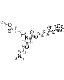 CCCCCCCCCCCOC(=O)CCCCCN1C[C@@H](OCCCN(C)C)C[C@H]1C(=O)OCCCCC(=O)OC(CCCCCCCC)CCCCCCCC